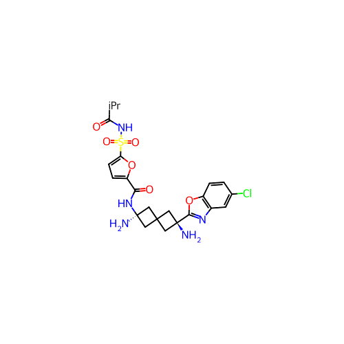 CC(C)C(=O)NS(=O)(=O)c1ccc(C(=O)N[C@]2(N)CC3(C2)C[C@@](N)(c2nc4cc(Cl)ccc4o2)C3)o1